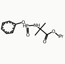 CC(C)OC(=O)C(C)(C)N[PH](=O)Oc1ccccc1